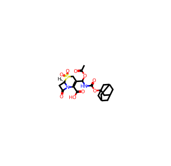 CC(=O)OC(NC(=O)OC12CC3CC(CC(C3)C1)C2)C1=C(C(=O)O)N2C(=O)C[C@H]2S(=O)(=O)C1